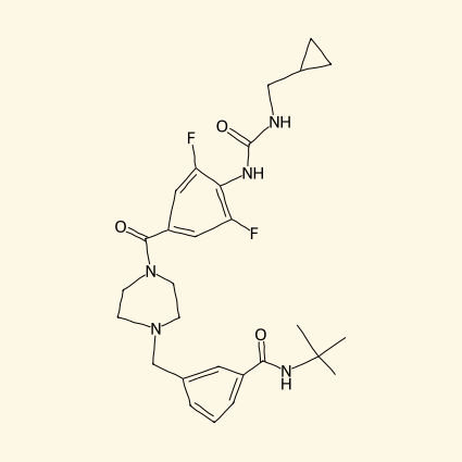 CC(C)(C)NC(=O)c1cccc(CN2CCN(C(=O)c3cc(F)c(NC(=O)NCC4CC4)c(F)c3)CC2)c1